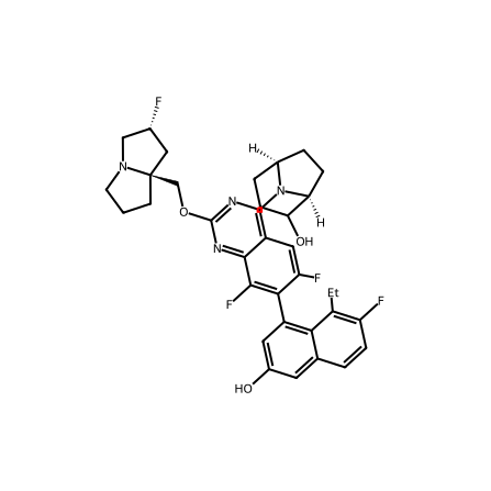 CCc1c(F)ccc2cc(O)cc(-c3c(F)cc4c(N5[C@H]6CCC(O)[C@@H]5CC6)nc(OC[C@@]56CCCN5C[C@H](F)C6)nc4c3F)c12